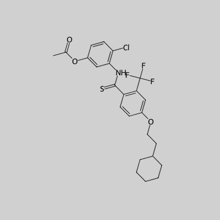 CC(=O)Oc1ccc(Cl)c(NC(=S)c2ccc(OCCC3CCCCC3)cc2C(F)(F)F)c1